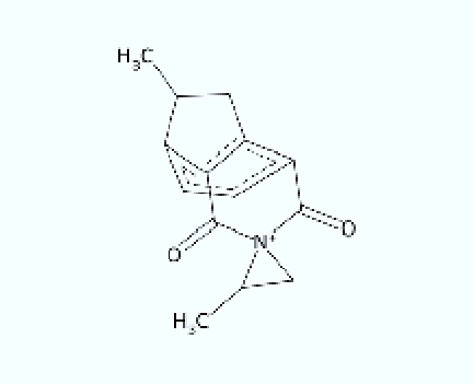 CC1Cc2c3ccc1c2C(=O)[N+]1(CC1C)C3=O